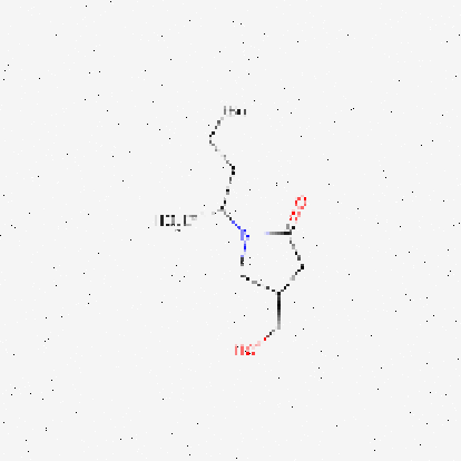 CC(C)(C)CC[C@@H](C(=O)O)N1CC(CO)CC1=O